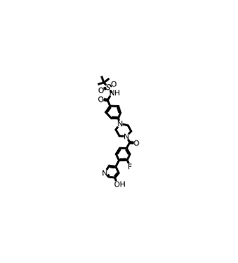 CC(C)(C)S(=O)(=O)NC(=O)c1ccc(N2CCN(C(=O)c3ccc(-c4cncc(O)c4)c(F)c3)CC2)cc1